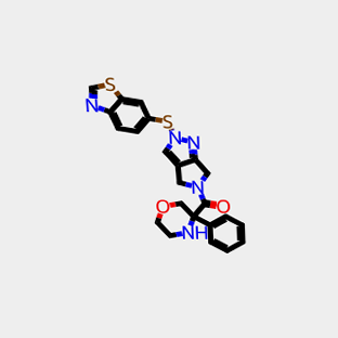 O=C(N1Cc2cn(Sc3ccc4ncsc4c3)nc2C1)C1(c2ccccc2)COCCN1